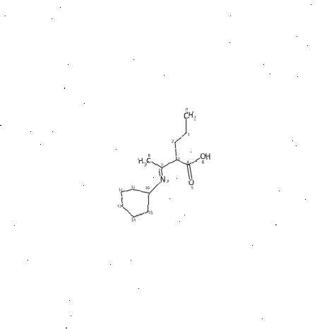 CCCC(C(=O)O)C(C)=NC1CCCCC1